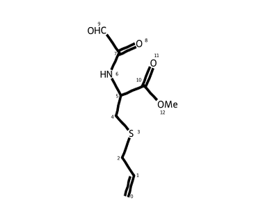 C=CCSCC(NC(=O)C=O)C(=O)OC